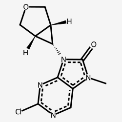 Cn1c(=O)n([C@@H]2[C@@H]3COC[C@@H]32)c2nc(Cl)ncc21